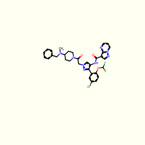 CN(Cc1ccccc1)C1CCN(C(=O)Cn2cc(NC(=O)c3cnn4cccnc34)c(-c3cc(Cl)ccc3OC(F)F)n2)CC1